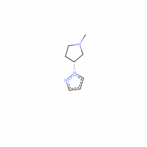 CN1CC[C@@H](n2cccn2)C1